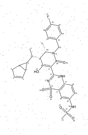 CC(C1C2C=CCC21)[C@H]1C(O)=C(C2=NS(=O)(=O)c3cc(NS(C)(=O)=O)ccc3N2)C(=O)N(Cc2ccc(F)cc2)[C@H]1C